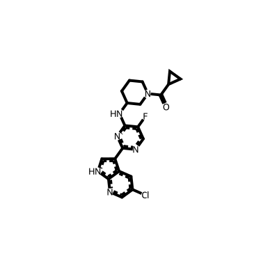 O=C(C1CC1)N1CCCC(Nc2nc(-c3c[nH]c4ncc(Cl)cc34)ncc2F)C1